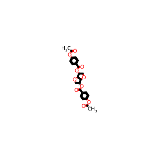 CC(=O)Oc1ccc(C(=O)OC2COC3C2OC[C@@H]3OC(=O)c2ccc(OC(C)=O)cc2)cc1